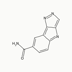 NC(=O)c1ccc2c(c1)=C1N=NC=C1N=2